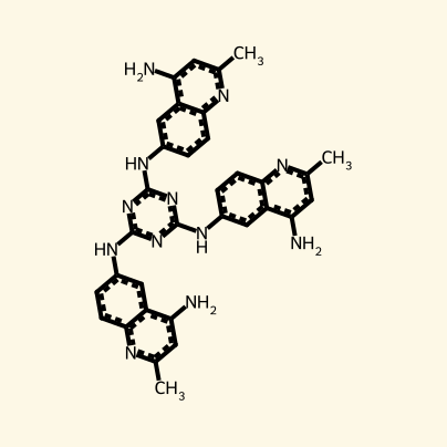 Cc1cc(N)c2cc(Nc3nc(Nc4ccc5nc(C)cc(N)c5c4)nc(Nc4ccc5nc(C)cc(N)c5c4)n3)ccc2n1